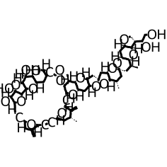 C=C1C[C@@H]2CC[C@H]3OC4[C@@H]5O[C@H]6CC[C@H](CC(=O)O[C@@H]7[C@@H](C)[C@@H]8O[C@@H]9C[C@@]%10(C[C@@H]%11O[C@]%12(C[C@H](C)[C@@H]%13O[C@@H]%14[C@@H]([C@@H](O)CO)CO[C@@H]%14C[C@@H]%13O%12)C[C@H](C)[C@@H]%11O%10)O[C@@H]9C[C@@H]8O[C@H]7C[C@H]7O[C@@H](CC[C@@H]1O2)C[C@@H](C)C7=C)O[C@@H]6[C@H](O)[C@@H]5O[C@@]4(O)[C@H]3O